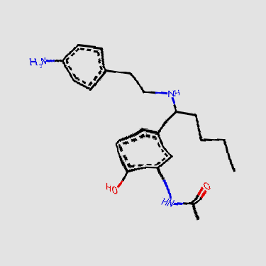 CCCCC(NCCc1ccc(N)cc1)c1ccc(O)c(NC(C)=O)c1